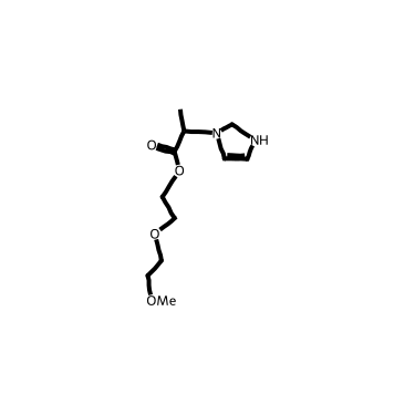 COCCOCCOC(=O)C(C)N1C=CNC1